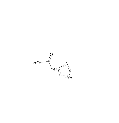 O=C(O)O.c1c[nH]cn1